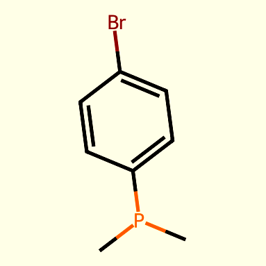 CP(C)c1ccc(Br)cc1